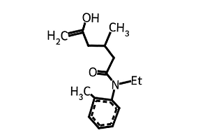 C=C(O)CC(C)CC(=O)N(CC)c1ccccc1C